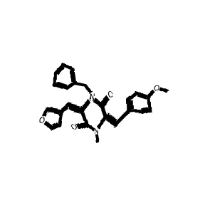 COc1ccc(C=c2c(=O)n(Cc3ccccc3)c(=Cc3ccoc3)c(=O)n2C)cc1